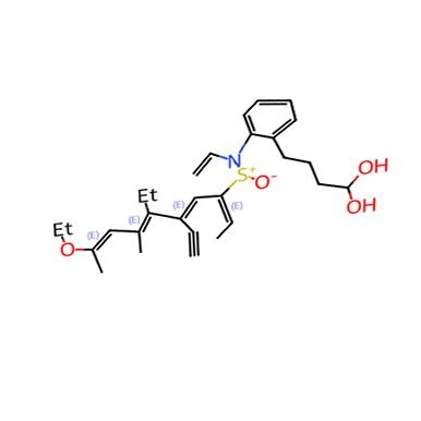 C#CC(=C\C(=C/C)[S+]([O-])N(C=C)c1ccccc1CCCC(O)O)/C(CC)=C(C)/C=C(\C)OCC